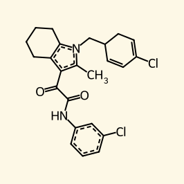 Cc1c(C(=O)C(=O)Nc2cccc(Cl)c2)c2c(n1CC1C=CC(Cl)=CC1)CCCC2